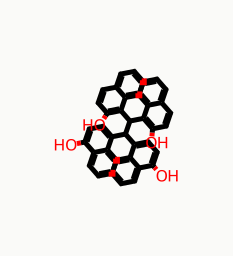 Oc1ccc2ccccc2c1C(c1c(O)ccc2ccccc12)C(c1ccc(O)c2ccccc12)c1ccc(O)c2ccccc12